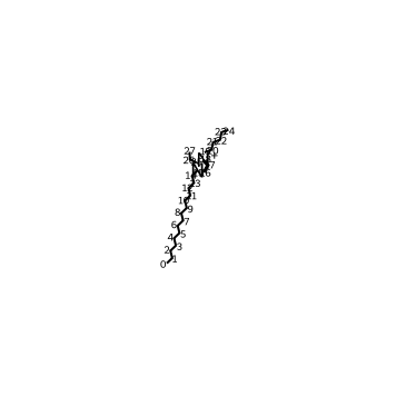 CCCCCCCCCCCCCCCn1cc[n+](CCCCCC)c1CC